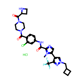 Cl.Cn1c(-c2cn(CC3CCC3)nc2C(F)(F)F)cnc1C(=O)Nc1ccc(C(=O)N2CCN(C(=O)C3CCN3)CC2)c(Cl)c1